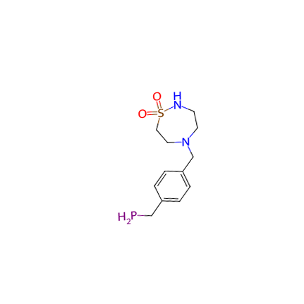 O=S1(=O)CCN(Cc2ccc(CP)cc2)CCN1